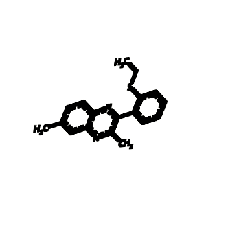 CCSc1ccccc1-c1nc2ccc(C)cc2nc1C